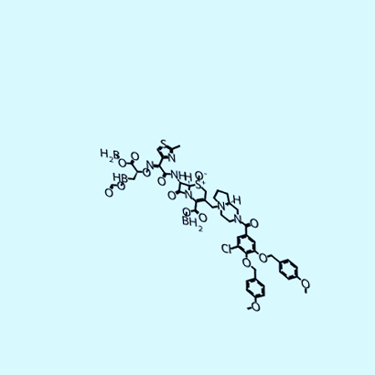 BOC(=O)C1=C(C[N+]23CCC[C@H]2CN(C(=O)c2cc(Cl)c(OCc4ccc(OC)cc4)c(OCc4ccc(OC)cc4)c2)CC3)C[S+]([O-])[C@@H]2[C@H](NC(=O)/C(=N\O[C@@H](CBOC=O)C(=O)OB)c3csc(C)n3)C(=O)N12